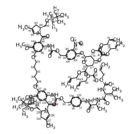 C=CCOC(=O)N[C@H](C(=O)N[C@@H](C)C(=O)Nc1ccc(COC(=O)Nc2cc(OCCCCCOc3cc(NC(=O)OCc4ccc(O[C@@H]5O[C@H](C(=O)OCC=C)[C@@H](OC(=O)OCC=C)[C@H](OC(=O)OCC=C)[C@H]5OC(=O)OCC=C)c([N+](=O)[O-])c4)c(C(=O)N4C=C(C)C[C@H]4CO[Si](C)(C)C(C)(C)C)cc3OC)c(OC)cc2C(=O)N2C=C(C)C[C@H]2CO[Si](C)(C)C(C)(C)C)cc1)C(C)C